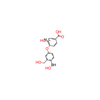 C\C=C(/C=C\C(=C\O)Oc1ccc(BO)c(CO)c1)C(=O)O